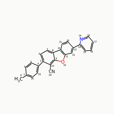 Cc1ccc(-c2ccc3c(oc4cc(-c5ccccn5)ccc43)c2C#N)cc1